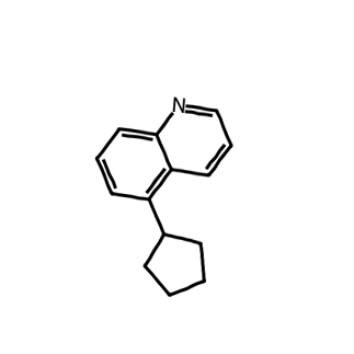 c1cc(C2CCCC2)c2cccnc2c1